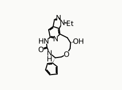 CCn1ncc2cc3nc(c21)C[C@H](O)COC[C@H](c1ccccc1)NC(=O)N3